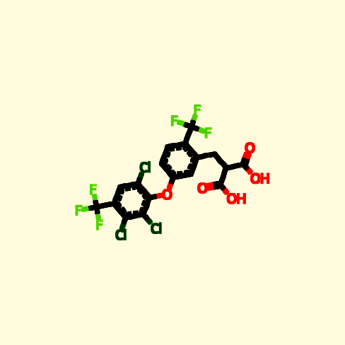 O=C(O)C(Cc1cc(Oc2c(Cl)cc(C(F)(F)F)c(Cl)c2Cl)ccc1C(F)(F)F)C(=O)O